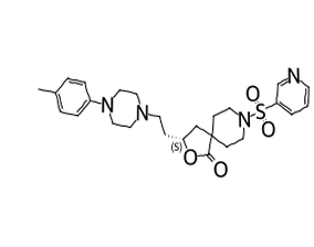 Cc1ccc(N2CCN(CC[C@@H]3CC4(CCN(S(=O)(=O)c5cccnc5)CC4)C(=O)O3)CC2)cc1